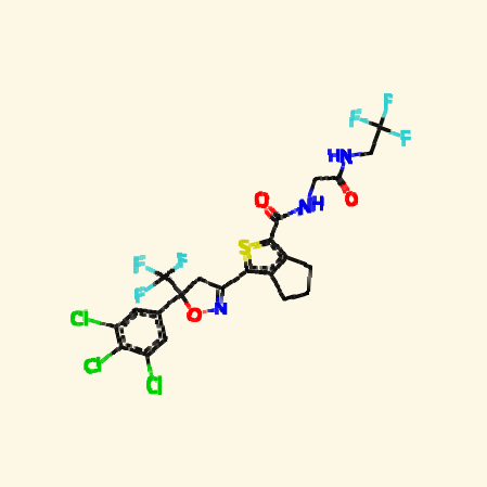 O=C(CNC(=O)c1sc(C2=NOC(c3cc(Cl)c(Cl)c(Cl)c3)(C(F)(F)F)C2)c2c1CCC2)NCC(F)(F)F